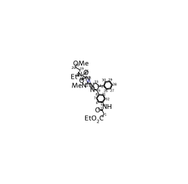 CCOC(=O)CC(=O)Nc1ccc(C2=NN(/C(=N/S(=O)(=O)N(CC)CCOC)NC)CC2c2ccccc2)cc1